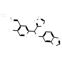 CO/N=C/c1cc(C(Oc2ccc3ncsc3c2)c2nnco2)ncc1Br